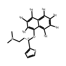 [2H]c1c([2H])c([2H])c2c(O[C@@H](CCN(C)C)c3cccs3)c([2H])c([2H])c([2H])c2c1[2H]